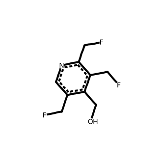 OCc1c(CF)cnc(CF)c1CF